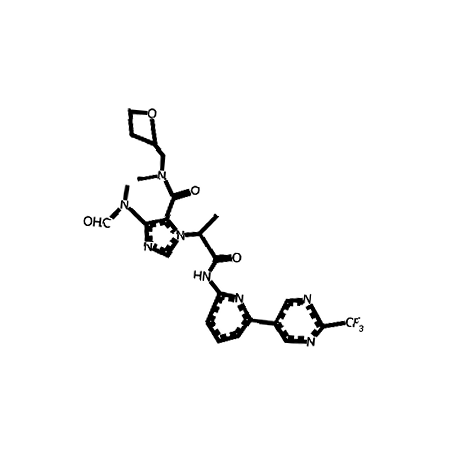 CC(C(=O)Nc1cccc(-c2cnc(C(F)(F)F)nc2)n1)n1cnc(N(C)C=O)c1C(=O)N(C)CC1CCO1